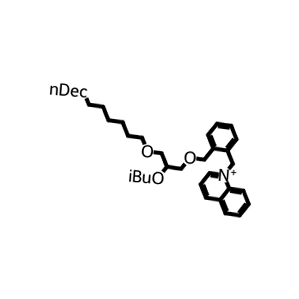 CCCCCCCCCCCCCCCCOCC(COCc1ccccc1C[n+]1cccc2ccccc21)OCC(C)C